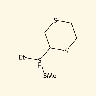 CC[SH](SC)C1CSCCS1